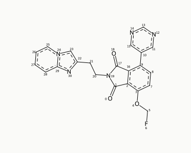 O=C1c2c(OCF)ccc(-c3cncnc3)c2C(=O)N1CCc1cn2ccccc2n1